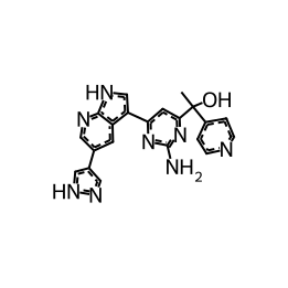 CC(O)(c1ccncc1)c1cc(-c2c[nH]c3ncc(-c4cn[nH]c4)cc23)nc(N)n1